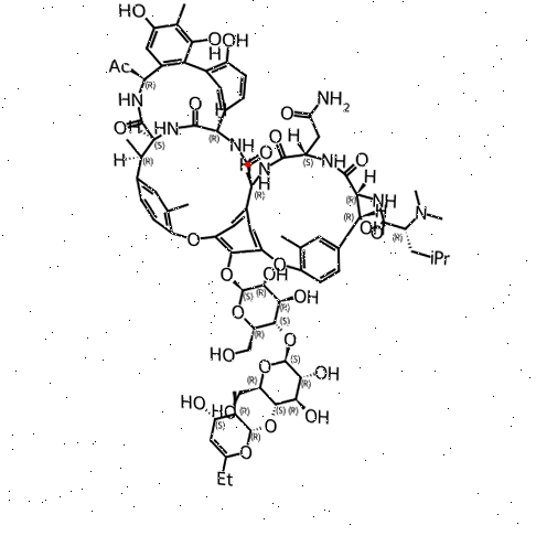 CCC1=C[C@H](O)[C@@H](C)[C@H](O[C@H]2[C@H](O)[C@@H](O)[C@H](O[C@H]3[C@H](O)[C@@H](O)[C@H](Oc4c5cc6cc4Oc4ccc(cc4C)[C@@H](O)[C@@H](NC(=O)[C@@H](CC(C)C)N(C)C)C(=O)N[C@@H](CC(N)=O)C(=O)N[C@H]6C(=O)N[C@H]4C(=O)N[C@H](C(=O)N[C@@H](C(C)=O)c6cc(O)c(C)c(O)c6-c6cc4ccc6O)[C@H](C)c4ccc(c(C)c4)O5)O[C@@H]3CO)O[C@@H]2CO)O1